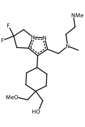 CNCCN(C)Cc1nn2c(c1C1CCC(CO)(COC)CC1)CC(F)(F)C2